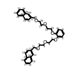 c1ccc(OCCOCCOCc2ccc3ccccc3c2)c(OCCOCCOCc2ccc3ccccc3c2)c1